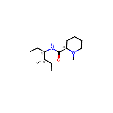 CC[C@H](C)[C@@H](CC)NC(=O)[C@H]1CCCCN1C